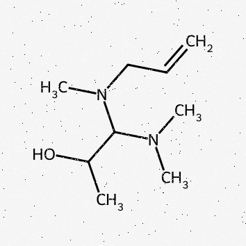 C=CCN(C)C(C(C)O)N(C)C